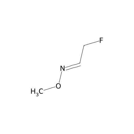 CO/N=C/CF